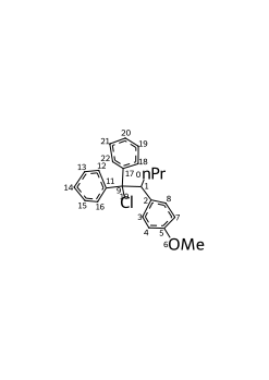 CCCC(c1ccc(OC)cc1)C(Cl)(c1ccccc1)c1ccccc1